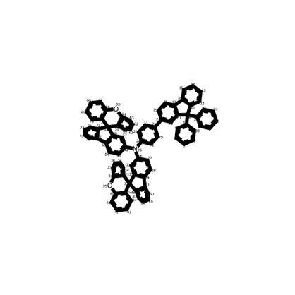 c1ccc(C2(c3ccccc3)c3ccccc3-c3ccc(-c4ccc(N(c5ccc6c(c5)C5(c7ccccc7Oc7ccccc75)c5ccccc5-6)c5ccc6c(c5)C5(c7ccccc7Oc7ccccc75)c5ccccc5-6)cc4)cc32)cc1